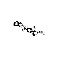 CC1(c2ccc(C(=O)Nc3nc4ccccc4s3)cc2)CCSC(N)=N1